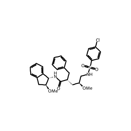 CO[C@H](CNS(=O)(=O)c1ccc(Cl)cc1)C[C@@H](Cc1ccccc1)C(=O)N[C@H]1c2ccccc2C[C@@H]1OC